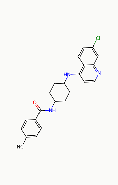 N#Cc1ccc(C(=O)NC2CCC(Nc3ccnc4cc(Cl)ccc34)CC2)cc1